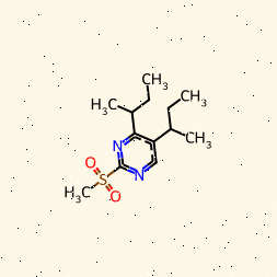 CCC(C)c1cnc(S(C)(=O)=O)nc1C(C)CC